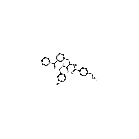 Cl.NCc1ccc(C(=O)NC(Cc2cccc(C(=O)c3ccccc3)c2)C(=O)NCc2ccccc2)cc1